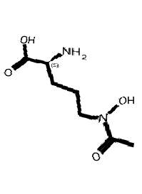 CC(=O)N(O)CCC[C@H](N)C(=O)O